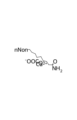 CCCCCCCCCCCCCCCCCC(N)=O.O=C([O-])[O-].[Ca+2]